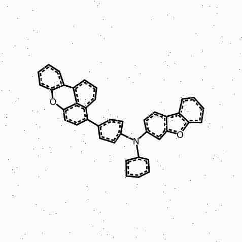 c1ccc(N(c2ccc(-c3ccc4c5c(cccc35)-c3ccccc3O4)cc2)c2ccc3c(c2)oc2ccccc23)cc1